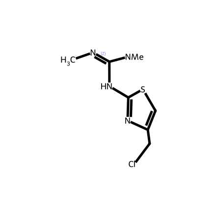 C/N=C(/NC)Nc1nc(CCl)cs1